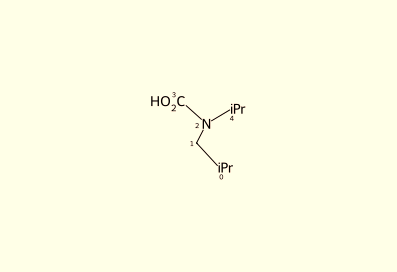 CC(C)CN(C(=O)O)C(C)C